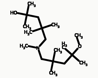 COC(C)(C)CC(C)(C)CN(C)CC(C)(C)CC(C)(C)O